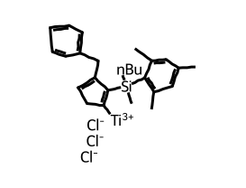 CCCC[Si](C)(C1=[C]([Ti+3])CC=C1Cc1ccccc1)c1c(C)cc(C)cc1C.[Cl-].[Cl-].[Cl-]